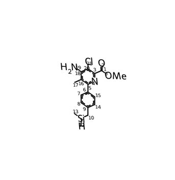 COC(=O)c1nc(-c2ccc(C[SiH](C)C)cc2)c(C)c(N)c1Cl